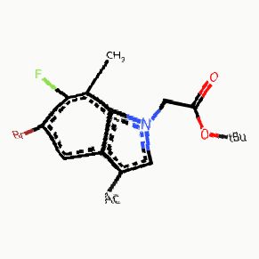 CC(=O)c1cn(CC(=O)OC(C)(C)C)c2c(C)c(F)c(Br)cc12